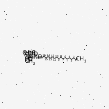 CCCCCCCCCCCCCCCCCCOC[C@H](COP(=O)(OC)C(O)C=O)OC